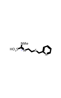 CN/C(=N\CCSCc1ccccn1)S(=O)(=O)O